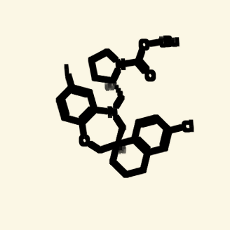 CC(C)(C)OC(=O)N1CCC[C@H]1CN1C[C@@]2(CCCc3cc(Cl)ccc32)COc2ccc(I)cc21